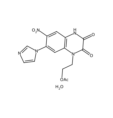 CC(=O)OCCn1c(=O)c(=O)[nH]c2cc([N+](=O)[O-])c(-n3ccnc3)cc21.O